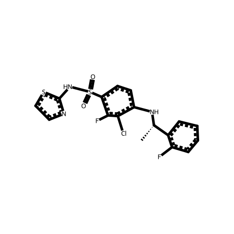 C[C@H](Nc1ccc(S(=O)(=O)Nc2nccs2)c(F)c1Cl)c1ccccc1F